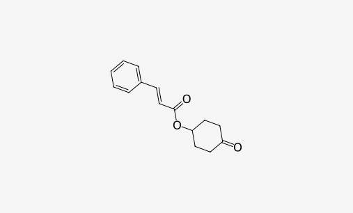 O=C1CCC(OC(=O)C=Cc2ccccc2)CC1